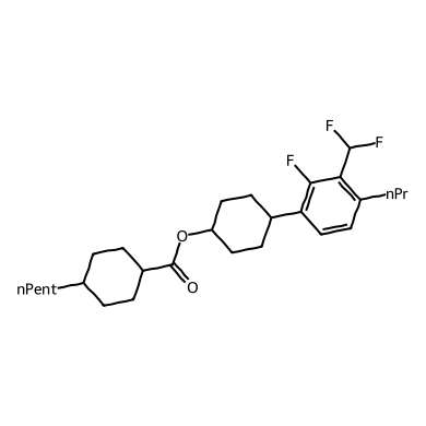 CCCCCC1CCC(C(=O)OC2CCC(c3ccc(CCC)c(C(F)F)c3F)CC2)CC1